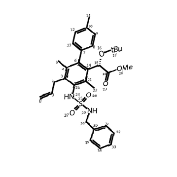 C=CCc1c(C)c(-c2ccc(C)cc2)c([C@H](OC(C)(C)C)C(=O)OC)c(C)c1NS(=O)(=O)NCc1ccccc1